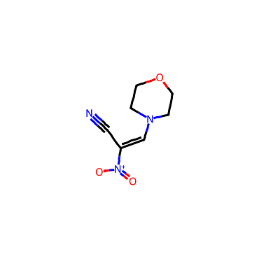 N#C/C(=C\N1CCOCC1)[N+](=O)[O-]